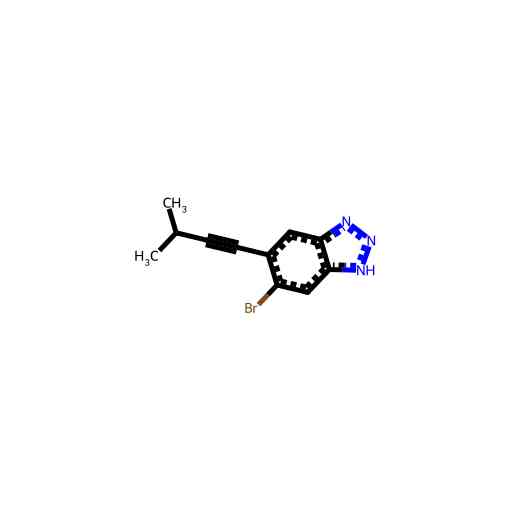 CC(C)C#Cc1cc2nn[nH]c2cc1Br